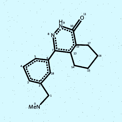 CNCc1cccc(-c2n[nH]c(=O)c3c2CCCC3)c1